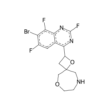 Fc1nc(C2CC3(CNCCOC3)O2)c2cc(F)c(Br)c(F)c2n1